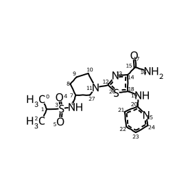 CC(C)S(=O)(=O)NC1CCCN(c2nc(C(N)=O)c(Nc3ccccn3)s2)C1